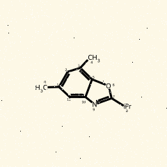 Cc1cc(C)c2oc(C(C)C)nc2c1